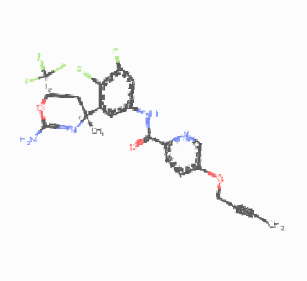 CC#CCOc1ccc(C(=O)Nc2cc(F)c(F)c([C@@]3(C)C[C@@H](C(F)(F)F)OC(N)=N3)c2)nc1